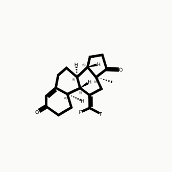 C[C@]12CC(=C(F)F)[C@H]3[C@@H](CCC4=CC(=O)CC[C@@H]43)[C@@H]1CCC2=O